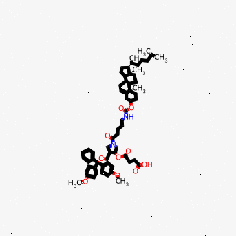 COc1ccc(C(OCC2CN(C(=O)CCCCNC(=O)OC3CC[C@@]4(C)C(=CCC5C4CC[C@@]4(C)C5CC[C@@H]4C(C)CCCC(C)C)C3)CC2OC(=O)CCC(=O)O)(c2ccccc2)c2ccc(OC)cc2)cc1